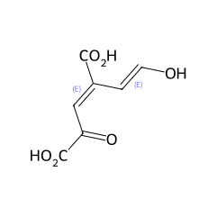 O=C(O)C(=O)/C=C(\C=C\O)C(=O)O